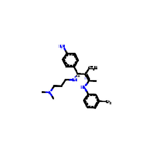 CCOC(=O)/C(=C(\C)Nc1cccc(C(F)(F)F)c1)[C@H](NCCCN(C)C)c1ccc(N)cc1